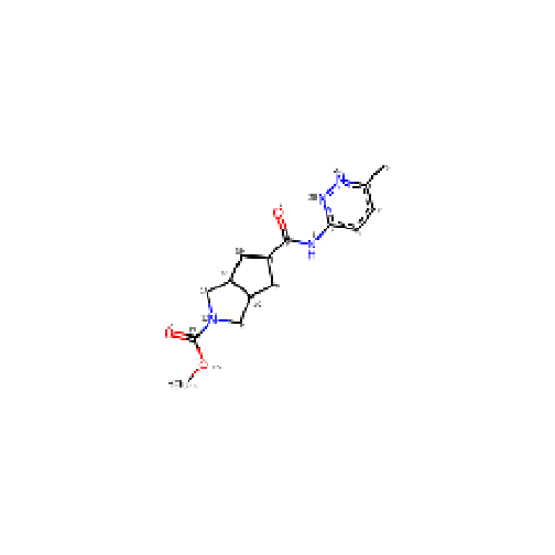 Cc1ccc(NC(=O)C2CC3CN(C(=O)OC(C)(C)C)CC3C2)nn1